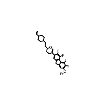 C=CC1CCC(CCC2CCC(c3cc4c(c(F)c3F)-c3c(cc(OCC)c(F)c3F)C4)=CO2)CC1